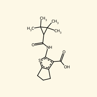 CC1(C)C(C(=O)Nc2sc3c(c2C(=O)O)CCC3)C1(C)C